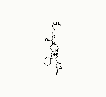 CCCCOC(=O)N1CCN(CC(c2csc(Cl)c2)C2(O)CCCCC2)CC1